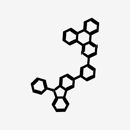 c1ccc(-n2c3ccccc3c3cc(-c4cccc(-c5cnc6c7ccccc7c7ccccc7c6n5)c4)ccc32)cc1